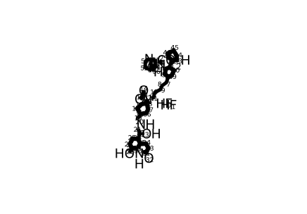 F.F.O=C(O)N(c1cc(CCCCCn2c(=O)oc3cc(CNC[C@@H](O)c4ccc(O)c5[nH]c(=O)ccc45)ccc32)ccc1-c1ccccc1)[C@H]1CN2CCC1CC2